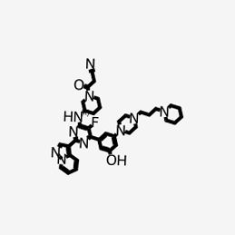 N#CCC(=O)N1CCC[C@@H](Nc2nc(-c3cnn4ccccc34)nc(-c3cc(O)cc(N4CCN(CCCN5CCCCC5)CC4)c3)c2F)C1